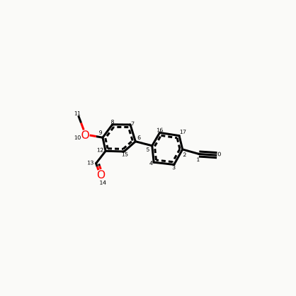 C#Cc1ccc(-c2ccc(OC)c(C=O)c2)cc1